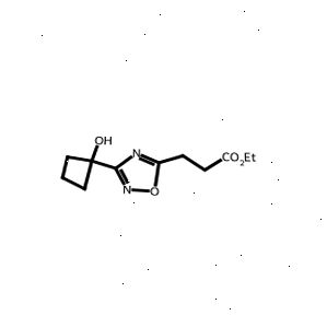 CCOC(=O)CCc1nc(C2(O)CCC2)no1